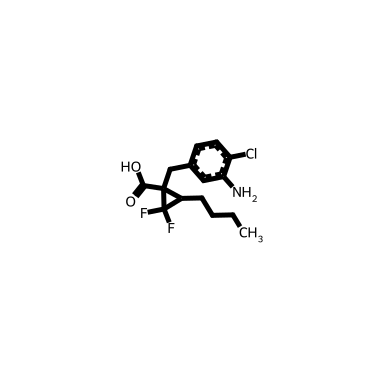 CCCCC1C(F)(F)C1(Cc1ccc(Cl)c(N)c1)C(=O)O